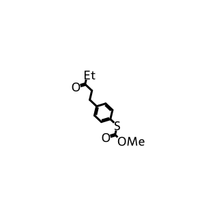 CCC(=O)CCc1ccc(SC(=O)OC)cc1